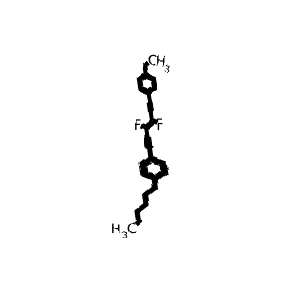 CCCCCCc1ccc(C#C/C(F)=C(\F)C#Cc2ccc(CC)cc2)cc1